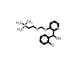 C[Si](C)(C)CCOCOc1cccnc1C(O)c1ccccc1Cl